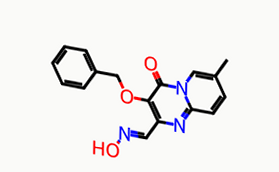 Cc1ccc2nc(C=NO)c(OCc3ccccc3)c(=O)n2c1